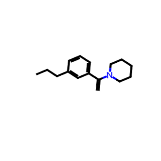 C=C(c1cccc(CCC)c1)N1CCCCC1